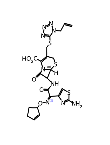 C=CCn1nnnc1SCC1=C(C(=O)O)N2C(=O)C(NC(=O)/C(=N\OC3C=CCC3)c3csc(N)n3)[C@H]2SC1